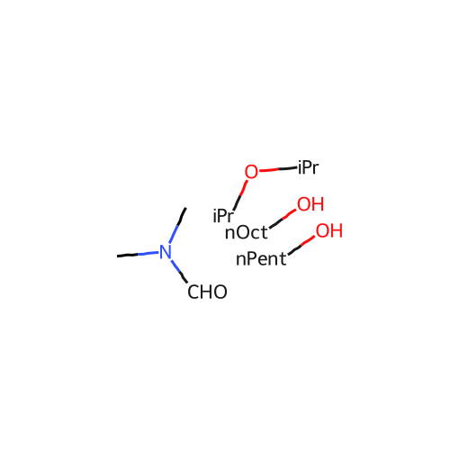 CC(C)OC(C)C.CCCCCCCCO.CCCCCO.CN(C)C=O